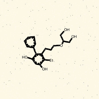 CCc1c(O)cc(O)c(-c2ccccc2)c1CCCOC(CO)CO